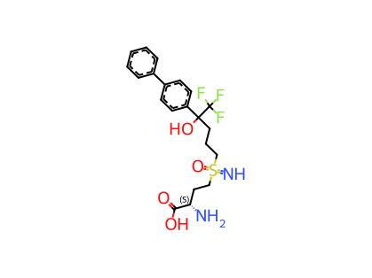 N=S(=O)(CCCC(O)(c1ccc(-c2ccccc2)cc1)C(F)(F)F)CC[C@H](N)C(=O)O